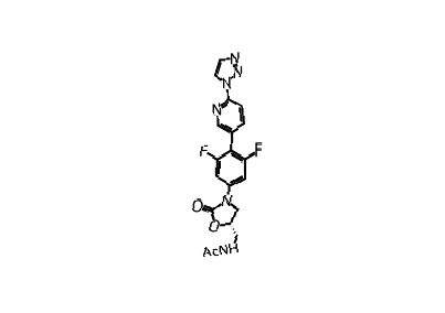 CC(=O)NC[C@H]1CN(c2cc(F)c(-c3ccc(-n4ccnn4)nc3)c(F)c2)C(=O)O1